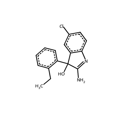 CCc1ccccc1C1(O)C(N)=Nc2ccc(Cl)cc21